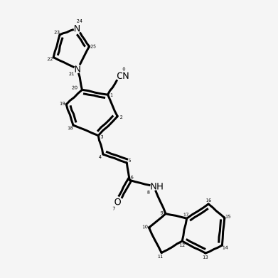 N#Cc1cc(/C=C/C(=O)NC2CCc3ccccc32)ccc1-n1ccnc1